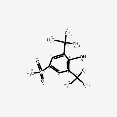 CC(C)(C)c1cc(S(C)(=O)=O)cc(C(C)(C)C)c1O